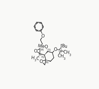 CO[C@@H]1C(O[Si](C)(C)C(C)(C)C)CC[C@]2(CO2)[C@H]1[C@@]1(C)O[C@@H]1CCOc1ccccc1